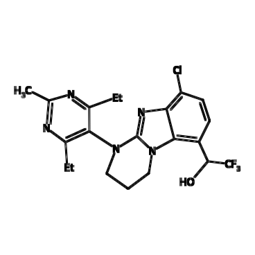 CCc1nc(C)nc(CC)c1N1CCCn2c1nc1c(Cl)ccc(C(O)C(F)(F)F)c12